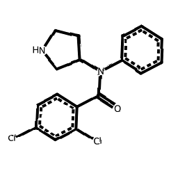 O=C(c1ccc(Cl)cc1Cl)N(c1ccccc1)C1CCNC1